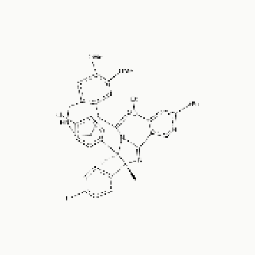 CCOc1cc(C(C)(C)C)ncc1C1=N[C@](C)(c2ccc(Cl)cc2)[C@@](C)(c2ccc(Cl)cc2)N1C(=O)N1CCNCc2cc(OC)c(OC)cc21